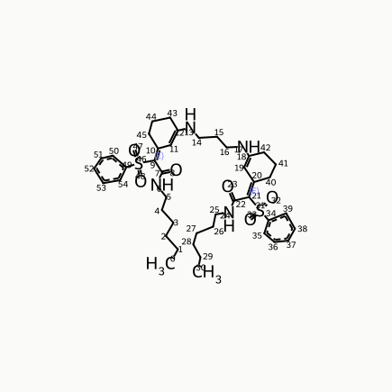 CCCCCCNC(=O)/C(=C1\C=C(NCCCNC2=C/C(=C(\C(=O)NCCCCCC)S(=O)(=O)c3ccccc3)CCC2)CCC1)S(=O)(=O)c1ccccc1